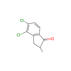 CC1Cc2c(ccc(Cl)c2Cl)C1=O